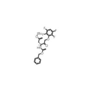 C=C(C[C@H](NC(=C)OCc1ccccc1)C(=O)COc1c(F)c(F)cc(F)c1F)OC(C)(C)C